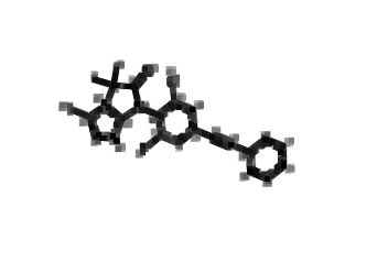 CC1(C)C(=O)N(c2c(F)cc(C#Cc3ccccc3)cc2Cl)c2ncc(I)n21